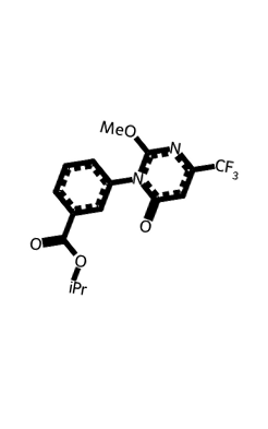 COc1nc(C(F)(F)F)cc(=O)n1-c1cccc(C(=O)OC(C)C)c1